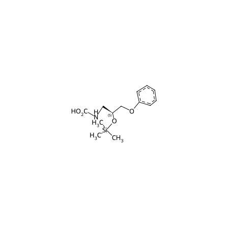 C[Si](C)(C)O[C@@H](CNC(=O)O)COc1ccccc1